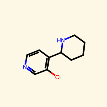 [O]c1cnccc1C1CCCCN1